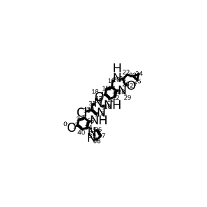 COc1ccc(Nc2nc(Nc3cc4c(cc3OC)CNC(CC3CC3)C(=O)N4C)ncc2Cl)c(-n2cccn2)c1